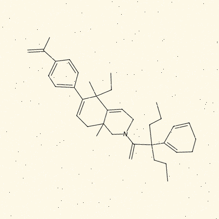 C=C(C)c1ccc(C2=CCC3(C)CN(C(=C)C(CCC)(CCC)C4=CCCC=C4)CC=C3C2(C)CC)cc1